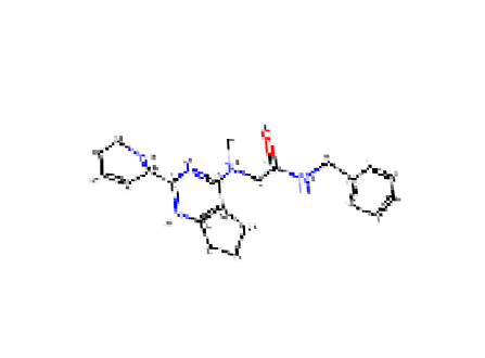 CN(CC(=O)NCc1ccccc1)c1nc(C2=NCCC=C2)nc2c1CCC2